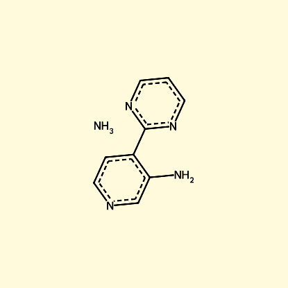 N.Nc1cnccc1-c1ncccn1